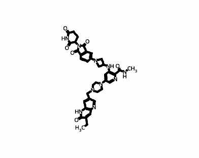 CCc1cc2ncc(CN3CCN(c4cnc(C(=O)NC)c(NC5CN(c6ccc7c(c6)C(=O)N(C6CCC(=O)NC6=O)C7=O)C5)c4)CC3)cc2[nH]c1=O